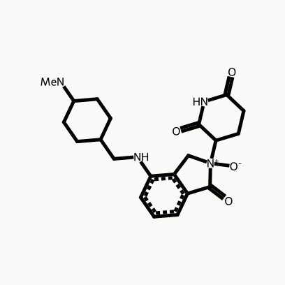 CNC1CCC(CNc2cccc3c2C[N+]([O-])(C2CCC(=O)NC2=O)C3=O)CC1